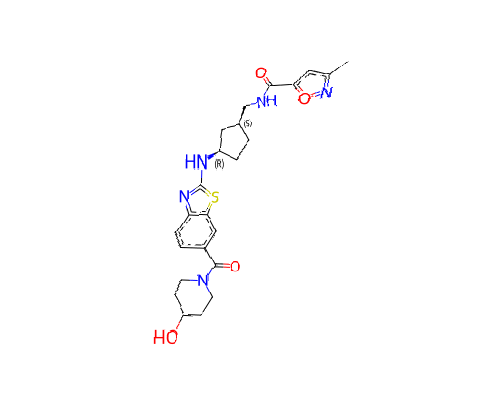 Cc1cc(C(=O)NC[C@H]2CC[C@@H](Nc3nc4ccc(C(=O)N5CCC(O)CC5)cc4s3)C2)on1